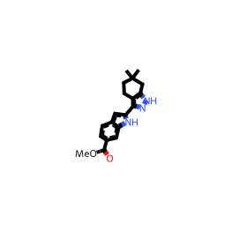 COC(=O)c1ccc2cc(-c3n[nH]c4c3CCC(C)(C)C4)[nH]c2c1